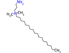 CCCCCCCCCCCCCCCCCC[N+](C)(C)CCCN